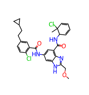 COCc1nc2c(C(=O)NC3C=CC=CC3(C)Cl)cc(NC(=O)c3cc(CCC4CC4)ccc3Cl)cc2[nH]1